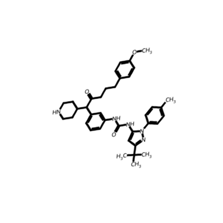 COc1ccc(CCCC(=O)C(c2cccc(NC(=O)Nc3cc(C(C)(C)C)nn3-c3ccc(C)cc3)c2)C2CCNCC2)cc1